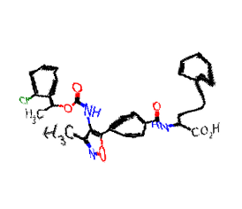 Cc1noc(-c2ccc(C(=O)NC(CCc3ccccc3)C(=O)O)cc2)c1NC(=O)OC(C)c1ccccc1Cl